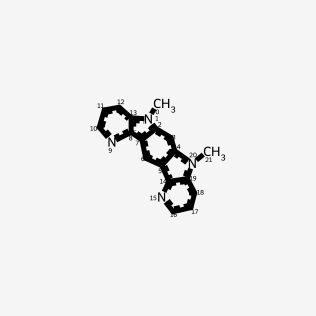 Cn1c2cc3c(cc2c2ncccc21)c1ncccc1n3C